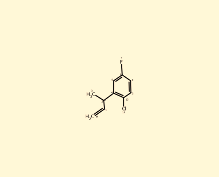 C=C[C](C)c1cc(F)ccc1Cl